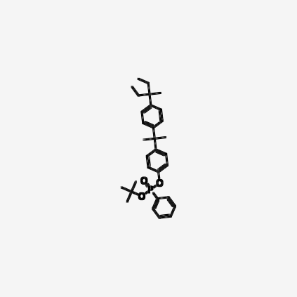 CCC(C)(CC)c1ccc(C(C)(C)c2ccc(OP(=O)(OC(C)(C)C)c3ccccc3)cc2)cc1